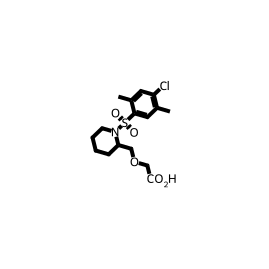 Cc1cc(S(=O)(=O)N2CCCCC2COCC(=O)O)c(C)cc1Cl